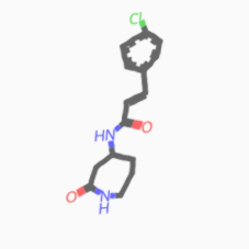 O=C(C=Cc1ccc(Cl)cc1)NC1CCCNC(=O)C1